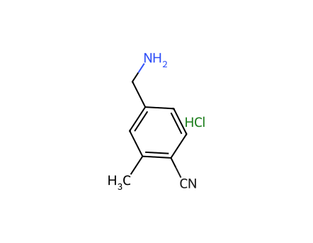 Cc1cc(CN)ccc1C#N.Cl